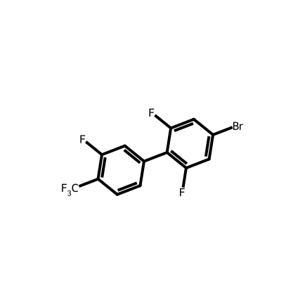 Fc1cc(-c2c(F)cc(Br)cc2F)ccc1C(F)(F)F